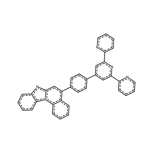 c1ccc(-c2cc(-c3ccc(-c4cc5nc6ccccc6n5c5ccccc45)cc3)cc(-c3ccccn3)n2)nc1